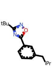 CC(C)Cc1cccc(-c2nc(C(C)(C)C)no2)c1